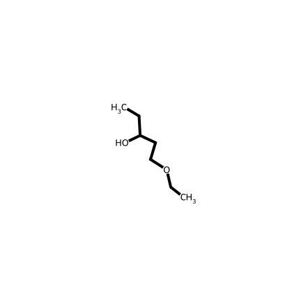 CCOCCC(O)CC